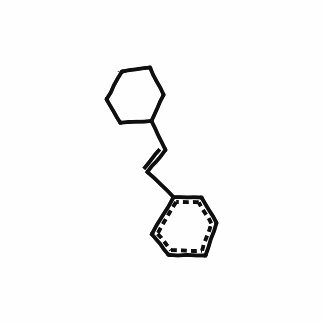 [CH]1CCC(C=Cc2ccccc2)CC1